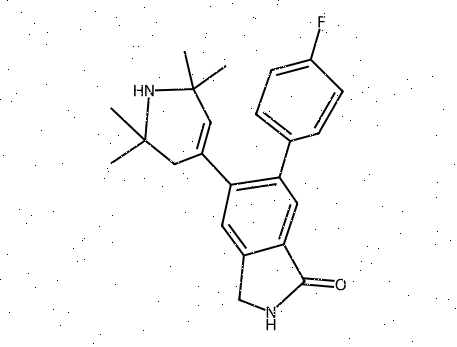 CC1(C)C=C(c2cc3c(cc2-c2ccc(F)cc2)C(=O)NC3)CC(C)(C)N1